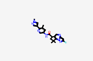 Cc1cc(NC(=O)C2CC(C)(C)c3c2cnc2cc(F)nn32)cnc1-c1cnn(C)c1